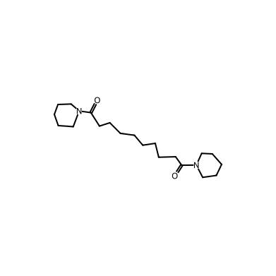 O=C(CCCCCCCCC(=O)N1CCCCC1)N1CCCCC1